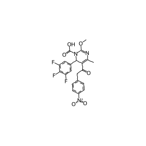 COC1=NC(C)=C(C(=O)Cc2ccc([N+](=O)[O-])cc2)C(c2cc(F)c(F)c(F)c2)N1C(=O)O